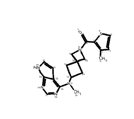 Cc1ccsc1C(=O)N1CC2(CC(N(C)c3ncnc4[nH]ccc34)C2)C1